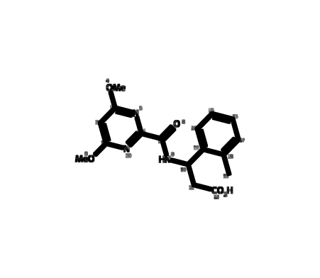 COc1cc(OC)nc(C(=O)NC(CC(=O)O)c2ccccc2C)n1